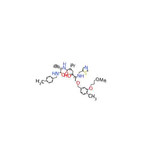 CC[C@H](C)[C@H](NC(=O)[C@@H](C[C@H](O)[C@H](COCc1ccc(C)c(OCCCOC)c1)NCc1cncs1)C(C)C)C(=O)NCc1ccc(C)cc1